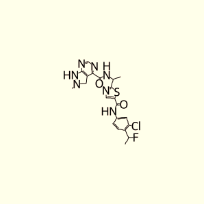 CC(F)c1ccc(NC(=O)c2cnc(C(C)NC(=O)c3ncnc4c3CN(C)N4)s2)cc1Cl